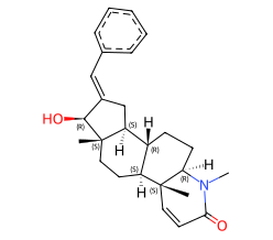 CN1C(=O)C=C[C@]2(C)[C@H]3CC[C@]4(C)[C@@H](O)C(=Cc5ccccc5)C[C@H]4[C@@H]3CC[C@@H]12